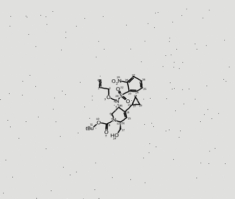 C=CCON([C@H]1CN(C(=O)OC(C)(C)C)[C@H](CO)C=C1C1CC1)S(=O)(=O)c1ccccc1[N+](=O)[O-]